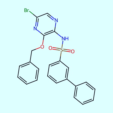 O=S(=O)(Nc1ncc(Br)nc1OCc1ccccc1)c1cccc(-c2ccccc2)c1